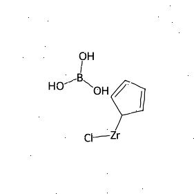 OB(O)O.[Cl][Zr][CH]1C=CC=C1